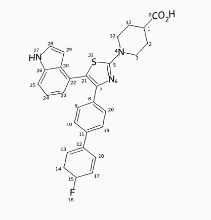 O=C(O)C1CCN(c2nc(-c3ccc(C4=CCC(F)C=C4)cc3)c(-c3cccc4[nH]ccc34)s2)CC1